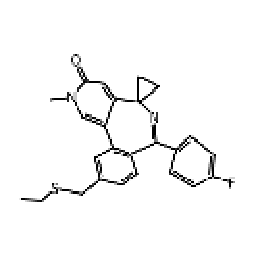 CCSCc1ccc2c(c1)-c1cn(C)c(=O)cc1C1(CC1)N=C2c1ccc(F)cc1